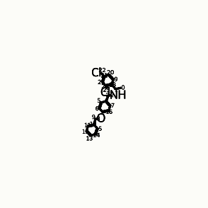 CC(NCc1ccc(OCc2ccccc2)cc1)c1ccc(Cl)cc1Cl